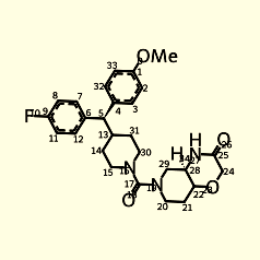 COc1ccc([C@H](c2ccc(F)cc2)C2CCN(C(=O)N3CCC4OCC(=O)N[C@@H]4C3)CC2)cc1